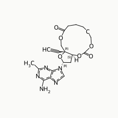 C#C[C@@]12COC(=O)CCCCCOC(=O)O[C@H]1C[C@H](n1cnc3c(N)nc(C)nc31)O2